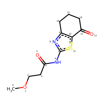 COCCC(=O)Nc1nc2c(s1)C(=O)CCC2